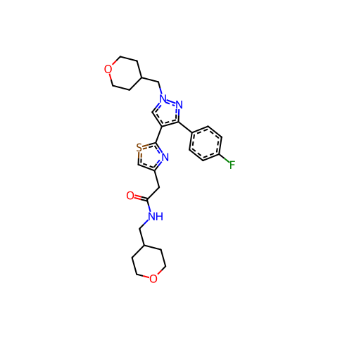 O=C(Cc1csc(-c2cn(CC3CCOCC3)nc2-c2ccc(F)cc2)n1)NCC1CCOCC1